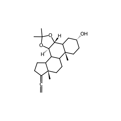 C=C=C1CCC2C3C(CC[C@]12C)[C@@]1(C)CC[C@@H](O)CC1[C@H]1OC(C)(C)O[C@H]31